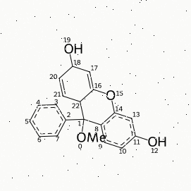 COC1(c2ccccc2)c2ccc(O)cc2OC2=CC(O)C=CC21